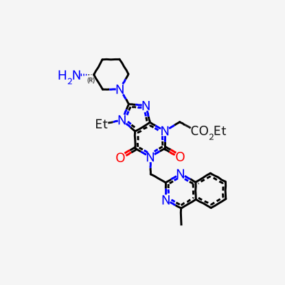 CCOC(=O)Cn1c(=O)n(Cc2nc(C)c3ccccc3n2)c(=O)c2c1nc(N1CCC[C@@H](N)C1)n2CC